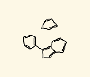 c1ccc(-c2occ3ccccc23)cc1.c1ccoc1